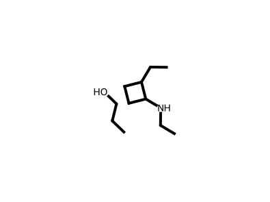 CCCO.CCNC1CCC1CC